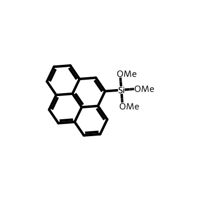 CO[Si](OC)(OC)c1cc2cccc3ccc4cccc1c4c32